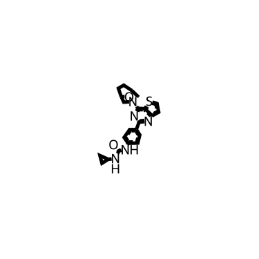 O=C(Nc1ccc(-c2nc(N3CC4CCC(C3)O4)c3sccc3n2)cc1)NC1CC1